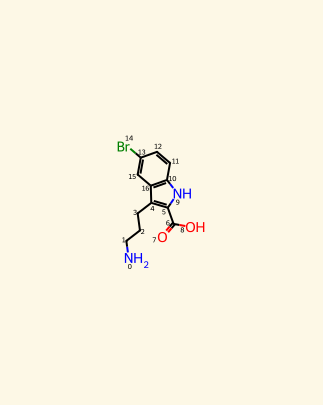 NCCCc1c(C(=O)O)[nH]c2ccc(Br)cc12